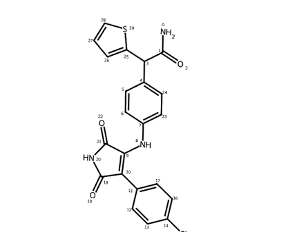 NC(=O)C(c1ccc(NC2=C(c3ccc(Cl)cc3)C(=O)NC2=O)cc1)c1cccs1